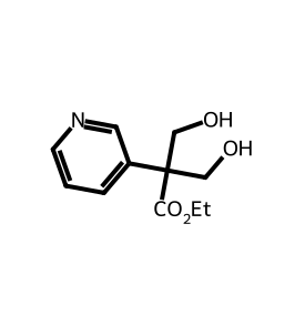 CCOC(=O)C(CO)(CO)c1cccnc1